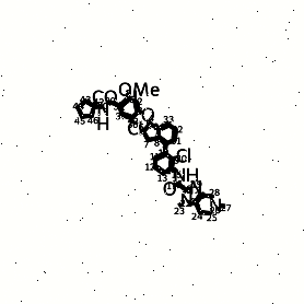 COc1cc(OC2CCc3c(-c4cccc(NC(=O)c5nc6c(n5C)CCN(C)C6)c4Cl)cccc32)c(Cl)cc1CNC1(C(=O)O)CCCC1